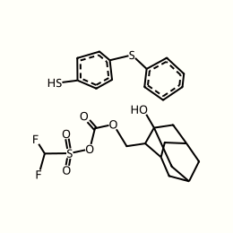 O=C(OCC1C2CC3CC(C2)CC1(O)C3)OS(=O)(=O)C(F)F.Sc1ccc(Sc2ccccc2)cc1